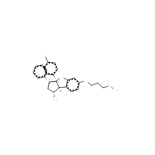 CNCCCOc1ccc2c(c1)O[C@@]1(c3ccc(Cl)cc3)[C@H](c3ccccc3)C[C@H](O)[C@@]21O